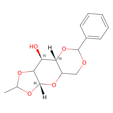 CC1OC2[C@@H](O1)OC1COC(c3ccccc3)O[C@H]1[C@@H]2O